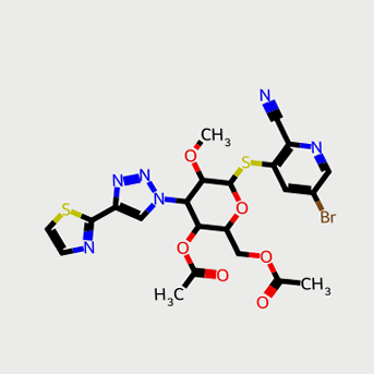 COC1C(Sc2cc(Br)cnc2C#N)OC(COC(C)=O)C(OC(C)=O)C1n1cc(-c2nccs2)nn1